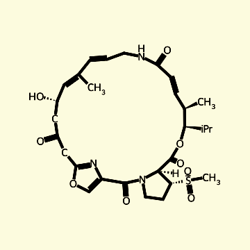 CC1=C\[C@@H](O)CC(=O)Cc2nc(co2)C(=O)N2CC[C@@H](S(C)(=O)=O)[C@@H]2C(=O)O[C@H](C(C)C)[C@H](C)/C=C/C(=O)NC\C=C\1